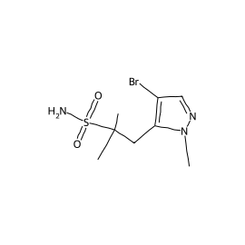 Cn1ncc(Br)c1CC(C)(C)S(N)(=O)=O